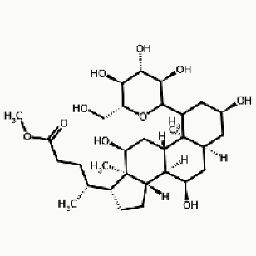 COC(=O)CC[C@@H](C)[C@H]1CC[C@H]2[C@@H]3[C@H](O)C[C@@H]4C[C@H](O)CC(C5O[C@H](CO)[C@@H](O)[C@H](O)[C@H]5O)[C@]4(C)[C@H]3C[C@H](O)[C@]12C